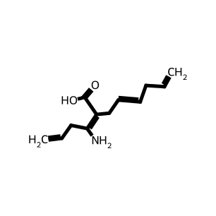 C=CCC=CCC(C(=O)O)=C(N)CC=C